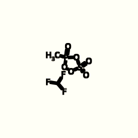 CP1(=O)OOS(=O)(=O)O1.FC(F)F